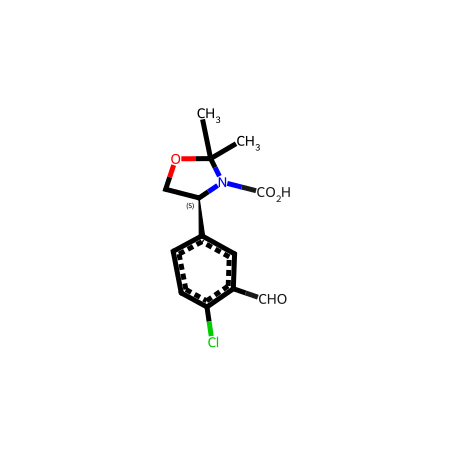 CC1(C)OC[C@H](c2ccc(Cl)c(C=O)c2)N1C(=O)O